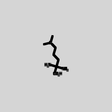 CN(C)CCCC(N)(N)C(=O)O